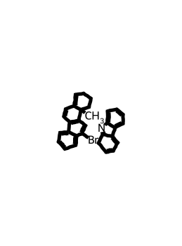 C1=CCC2=Nc3ccccc3C2=C1.CC12CCCC=C1C=Cc1c2cc(Br)c2ccccc12